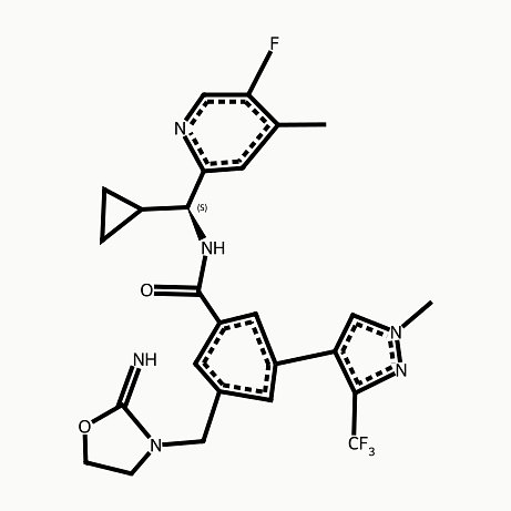 Cc1cc([C@@H](NC(=O)c2cc(CN3CCOC3=N)cc(-c3cn(C)nc3C(F)(F)F)c2)C2CC2)ncc1F